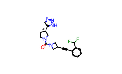 O=C(N1CC(C#Cc2ccccc2C(F)F)C1)N1CC[C@@H](c2cnn[nH]2)C1